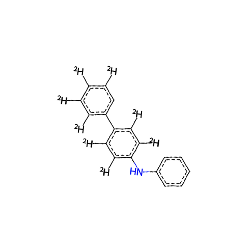 [2H]c1cc(-c2c([2H])c([2H])c(Nc3ccccc3)c([2H])c2[2H])c([2H])c([2H])c1[2H]